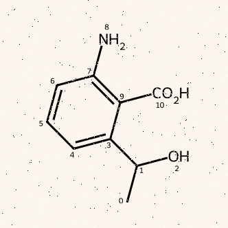 CC(O)c1cccc(N)c1C(=O)O